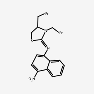 CC(C)CC1CSC(=Nc2ccc([N+](=O)[O-])c3ccccc23)N1CC(C)C